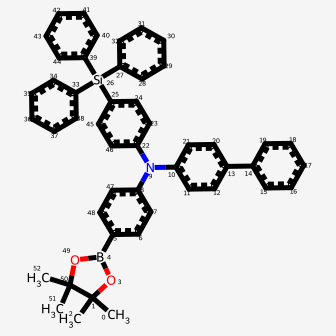 CC1(C)OB(c2ccc(N(c3ccc(-c4ccccc4)cc3)c3ccc([Si](c4ccccc4)(c4ccccc4)c4ccccc4)cc3)cc2)OC1(C)C